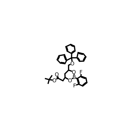 CC(C)(C)OC(=O)CC1CC(COC(c2ccccc2)(c2ccccc2)c2ccccc2)OB(c2c(F)cccc2F)O1